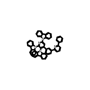 c1ccc(-c2cccc(-c3cccc(-c4cc(-n5c6ccccc6c6ccccc65)nc(-n5c6ccccc6c6ccccc65)c4-n4c5ccccc5c5ccccc54)c3)n2)cc1